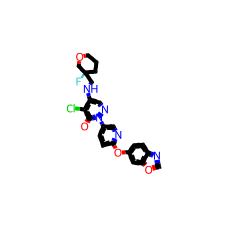 O=c1c(Cl)c(NC[C@@]2(F)CCCOC2)cnn1-c1ccc(Oc2ccc3ncoc3c2)nc1